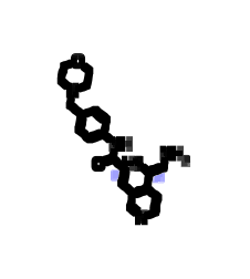 N/C=C(\S)c1ccncc1/C=C/C(=O)Nc1ccc(CN2CCOCC2)cc1